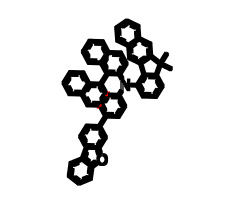 CC1(C)c2cc3ccccc3cc2-c2c(N(c3ccc(-c4ccc5c(c4)oc4ccccc45)cc3)c3ccc4ccccc4c3-c3cccc4ccccc34)cccc21